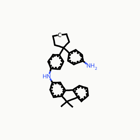 CC1(C)c2ccccc2-c2cc(Nc3ccc(C4(c5ccc(N)cc5)CCCCC4)cc3)ccc21